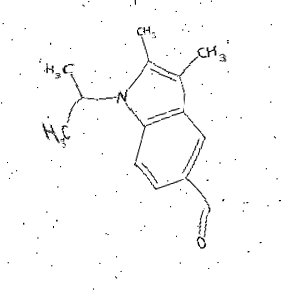 Cc1c(C)n(C(C)C)c2ccc(C=O)cc12